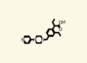 CCc1cc(CN2CCN(c3ccncc3)CC2)ccc1C(CC)C(=O)O